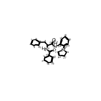 O=C(NC(Cc1ccccc1)C(=O)Nc1ccccc1N1CCCC1)c1ccccc1